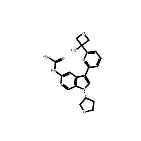 NC(=O)Nc1cc2c(-c3cccc(C4(O)COC4)n3)cn([C@@H]3CCOC3)c2cn1